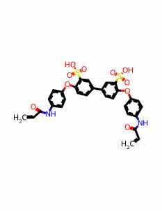 C=CC(=O)Nc1ccc(Oc2ccc(-c3ccc(Oc4ccc(NC(=O)C=C)cc4)c(S(=O)(=O)O)c3)cc2S(=O)(=O)O)cc1